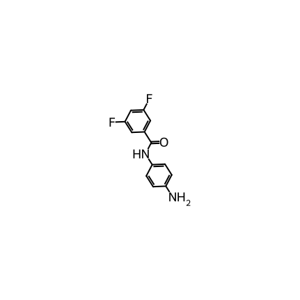 Nc1ccc(NC(=O)c2cc(F)cc(F)c2)cc1